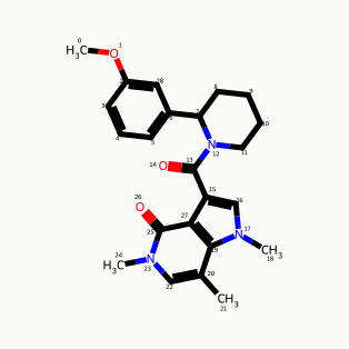 COc1cccc(C2CCCCN2C(=O)c2cn(C)c3c(C)cn(C)c(=O)c23)c1